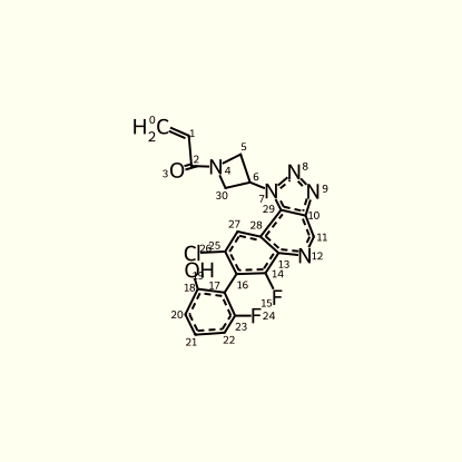 C=CC(=O)N1CC(n2nnc3cnc4c(F)c(-c5c(O)cccc5F)c(Cl)cc4c32)C1